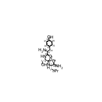 CC(C)C[C@H](NC(=O)[C@H](CO)NC(=O)[C@@H](N)Cc1ccc(O)cc1)C(N)=O